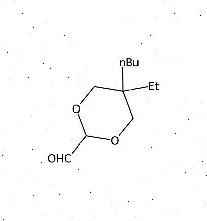 CCCCC1(CC)COC(C=O)OC1